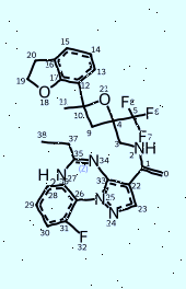 C=C(NCC1(C(F)(F)F)CC(C)(c2cccc3c2OCC3)O1)c1cnn(-c2ccccc2F)c1/N=C(\N)CC